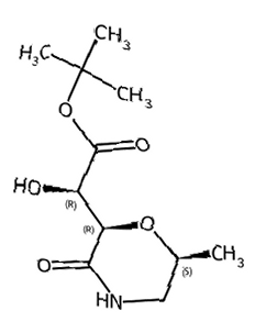 C[C@H]1CNC(=O)[C@@H]([C@@H](O)C(=O)OC(C)(C)C)O1